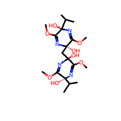 COC1=N[C@@](O)(C(C)C)C(OC)=N[C@]1(O)C[C@@]1(O)N=C(OC)[C@](O)(C(C)C)N=C1OC